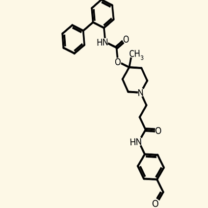 CC1(OC(=O)Nc2ccccc2-c2ccccc2)CCN(CCC(=O)Nc2ccc(C=O)cc2)CC1